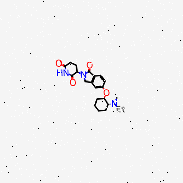 CCN(C)[C@@H]1CCCC[C@H]1Oc1ccc2c(c1)CN(C1CCC(=O)NC1=O)C2=O